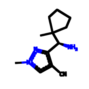 Cn1cc(C#N)c([C@H](N)C2(C)CCCC2)n1